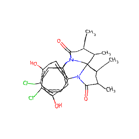 CC1C(=O)N(c2ccc(Cl)c(O)c2)C2(C1C)C(C)C(C)C(=O)N2c1ccc(Cl)c(O)c1